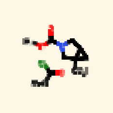 CC(C)(C)OC(=O)N1CC2CC2(C(=O)O)C1.COC(=O)Cl